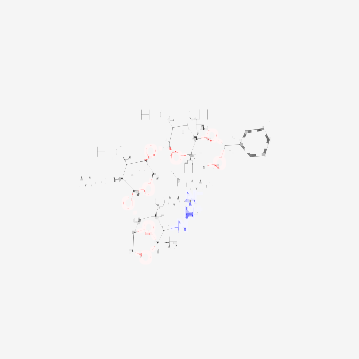 COC[C@@H]1O[C@@H](O[C@H]2C3CO[C@H](O3)C(N=[N+]=[N-])[C@@H]2OC)C(OC)C(C)[C@@H]1O[C@H]1O[C@H]2COC(c3ccccc3)O[C@H]2C(C)C1C